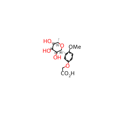 COc1ccc(OCC(=O)O)cc1[C@H]1O[C@@H](C)[C@@H](O)[C@@H](O)[C@@H]1O